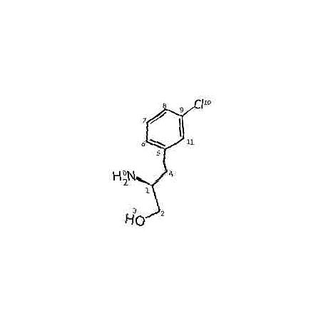 N[C@H](CO)Cc1cccc(Cl)c1